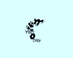 COc1ccc(NS(=O)(=O)c2cnn(-c3ncc(CF)cc3I)c2)cc1